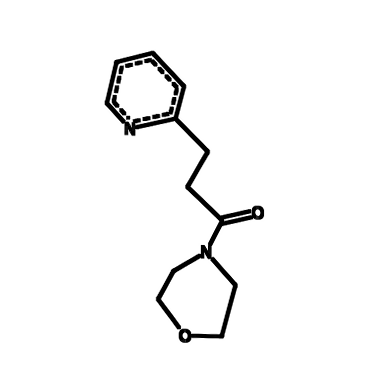 O=C(CCc1ccccn1)N1CCOCC1